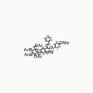 COc1ccc(COc2c(OCc3ccccc3)c3ccc(O[C@@H]4O[C@H](COC(C)=O)[C@@H](OC(C)=O)[C@H](OC(C)=O)[C@H]4OC(C)=O)cc3oc2=O)cc1